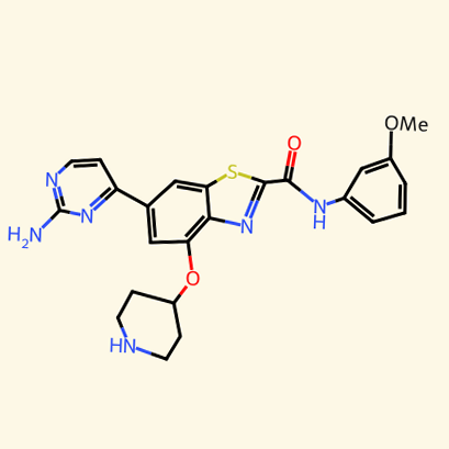 COc1cccc(NC(=O)c2nc3c(OC4CCNCC4)cc(-c4ccnc(N)n4)cc3s2)c1